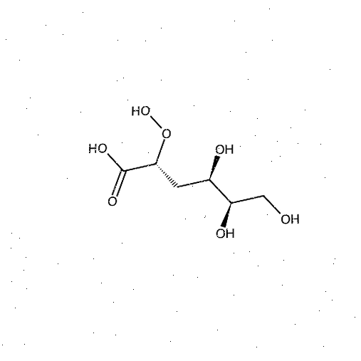 O=C(O)[C@@H](C[C@@H](O)[C@H](O)CO)OO